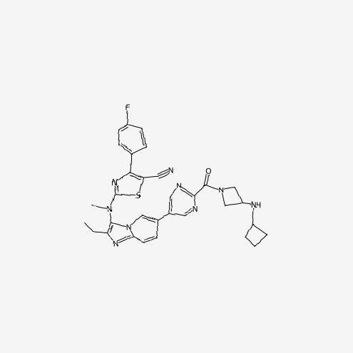 CCc1nc2ccc(-c3cnc(C(=O)N4CC(NC5CCC5)C4)nc3)cn2c1N(C)c1nc(-c2ccc(F)cc2)c(C#N)s1